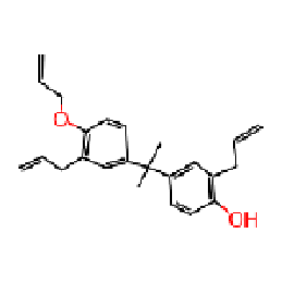 C=CCOc1ccc(C(C)(C)c2ccc(O)c(CC=C)c2)cc1CC=C